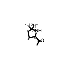 [2H]C1([2H])CCC(C(C)=O)N1